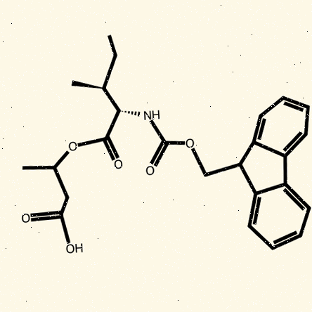 CC[C@H](C)[C@H](NC(=O)OCC1c2ccccc2-c2ccccc21)C(=O)OC(C)CC(=O)O